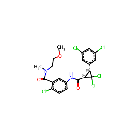 COCCN(C)C(=O)c1cc(NC(=O)[C@H]2[C@H](c3cc(Cl)cc(Cl)c3)C2(Cl)Cl)ccc1Cl